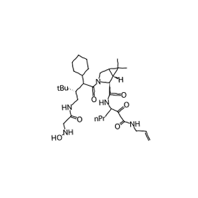 C=CCNC(=O)C(=O)C(CCC)NC(=O)[C@@H]1[C@@H]2C(CN1C(=O)C(C1CCCCC1)[C@H](CNC(=O)CNO)C(C)(C)C)C2(C)C